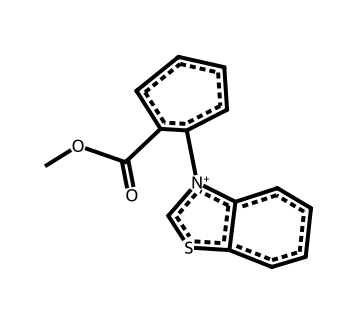 COC(=O)c1ccccc1-[n+]1csc2ccccc21